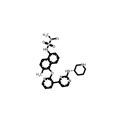 CCN(C)S(=O)(=O)Nc1cccc2c(Oc3ncccc3-c3ccnc(N[C@H]4CCCNC4)n3)c(C)ccc12